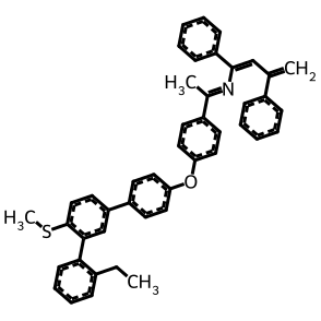 C=C(/C=C(\N=C(/C)c1ccc(Oc2ccc(-c3ccc(SC)c(-c4ccccc4CC)c3)cc2)cc1)c1ccccc1)c1ccccc1